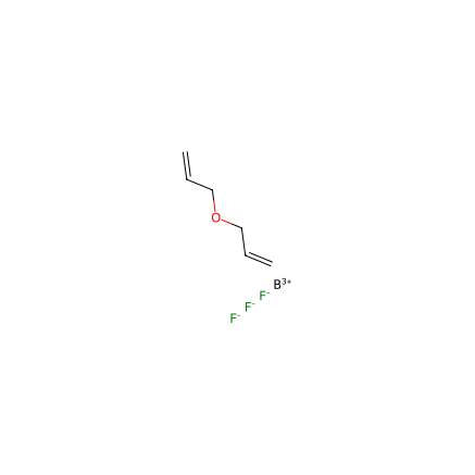 C=CCOCC=C.[B+3].[F-].[F-].[F-]